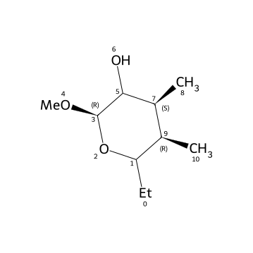 CCC1O[C@@H](OC)C(O)[C@@H](C)[C@H]1C